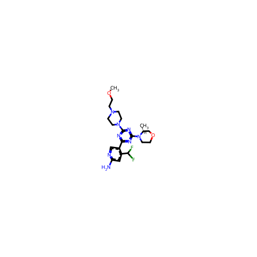 COCCN1CCN(c2nc(-c3cnc(N)cc3C(F)F)nc(N3CCOC[C@H]3C)n2)CC1